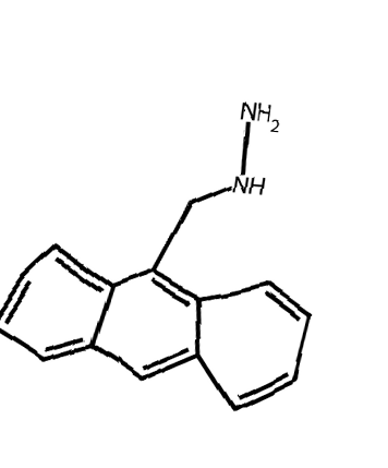 NNCc1c2ccccc2cc2ccccc12